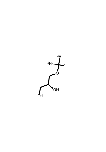 [2H]C([2H])([2H])OC[C@@H](O)CO